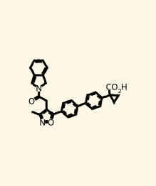 Cc1noc(-c2ccc(-c3ccc(C4(C(=O)O)CC4)cc3)cc2)c1CC(=O)N1C=C2CC=CC=C2C1